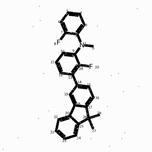 CN(c1ccccc1F)c1cccc(-c2ccc3c(c2)-c2ccccc2C3(C)C)c1F